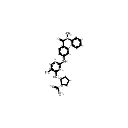 CN(C(=O)c1ccc(Nc2ncc(Br)c(N[C@@H]3CCC[C@@H]3C(N)=O)n2)cc1)c1ccccc1